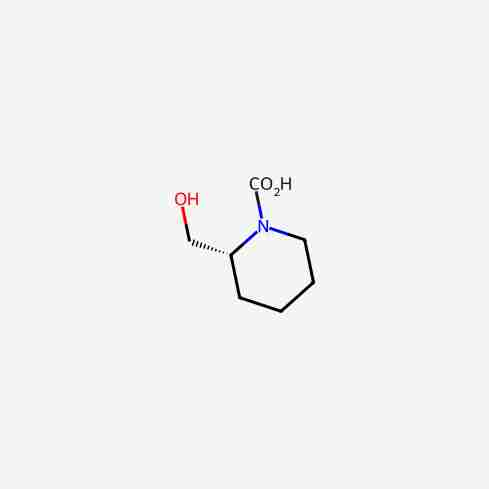 O=C(O)N1CCCC[C@@H]1CO